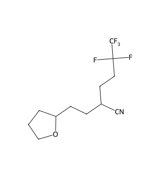 N#CC(CCC1CCCO1)CCC(F)(F)C(F)(F)F